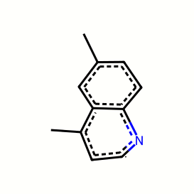 Cc1ccc2n[c]cc(C)c2c1